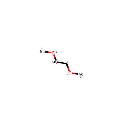 CC(=O)OBCOC(C)=O